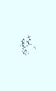 CO[C@H]1C(=O)N2C(C(=O)C(C)(C)C)=C(COC(C)=O)C(Sc3nnnn3C)S(=O)(=O)[C@@H]12